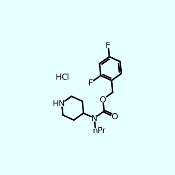 CCCN(C(=O)OCc1ccc(F)cc1F)C1CCNCC1.Cl